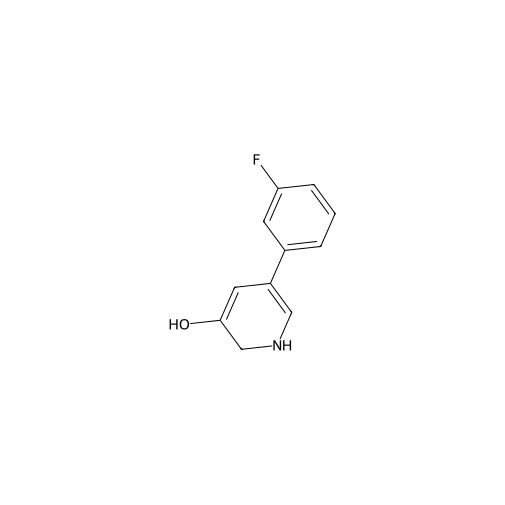 OC1=CC(c2cccc(F)c2)=CNC1